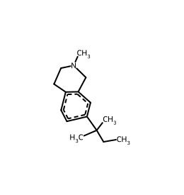 CCC(C)(C)c1ccc2c(c1)CN(C)CC2